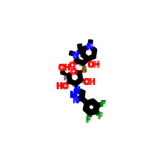 CCN(C)C(=O)[C@@H](S[C@@H]1O[C@H](CO)[C@H](O)[C@H](n2cc(-c3cc(F)c(F)c(F)c3)nn2)[C@H]1O)C1(O)CCN(C)CC1